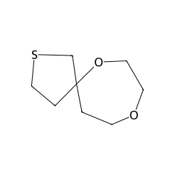 C1COC2(CCO1)CCSC2